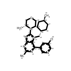 C[C@@H]1COCCN1c1nc2nc(C#N)nc(-c3cncc(Cl)c3)c2n1C[C@H]1CC[C@H](C)CC1